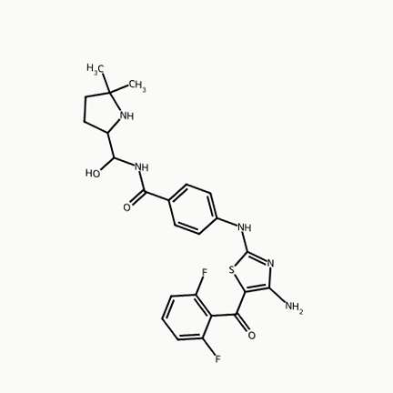 CC1(C)CCC(C(O)NC(=O)c2ccc(Nc3nc(N)c(C(=O)c4c(F)cccc4F)s3)cc2)N1